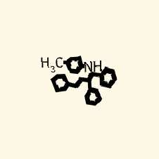 Cc1ccc(NC(=C(C=Cc2ccccc2)c2ccccc2)c2ccccc2)cc1